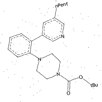 CCCCCc1cncc(-c2ccccc2N2CCN(C(=O)OC(C)(C)C)CC2)c1